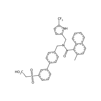 Cc1ccc2ccccc2c1C(=O)N(Cc1ccc(-c2cccc(S(=O)(=O)CC(=O)O)c2)cc1)Cc1ccc(C(F)(F)F)[nH]1